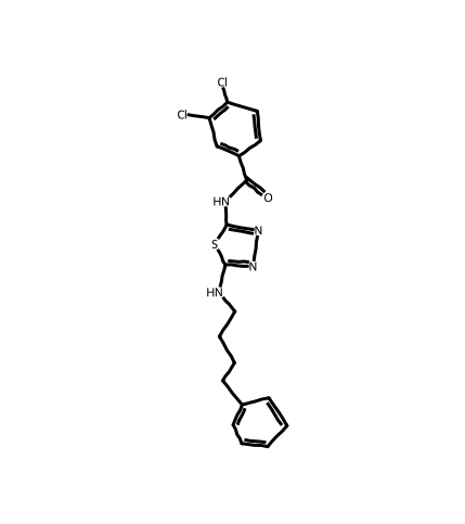 O=C(Nc1nnc(NCCCCc2ccccc2)s1)c1ccc(Cl)c(Cl)c1